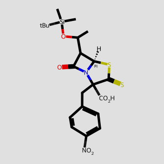 CC(O[Si](C)(C)C(C)(C)C)C1C(=O)N2[C@@H]1SC(=S)C2(Cc1ccc([N+](=O)[O-])cc1)C(=O)O